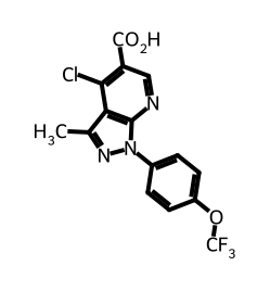 Cc1nn(-c2ccc(OC(F)(F)F)cc2)c2ncc(C(=O)O)c(Cl)c12